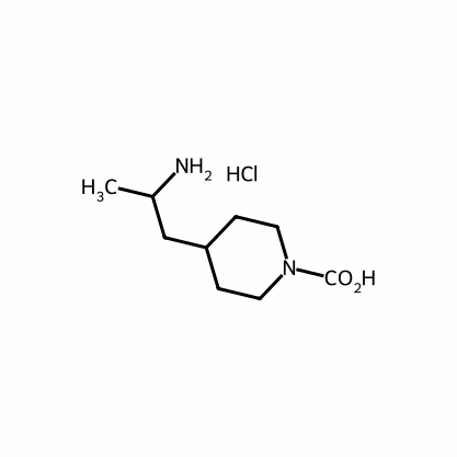 CC(N)CC1CCN(C(=O)O)CC1.Cl